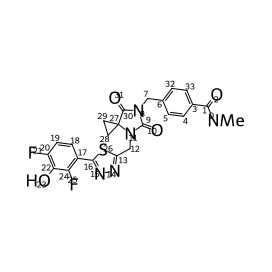 CNC(=O)c1ccc(CN2C(=O)N(Cc3nnc(-c4ccc(F)c(O)c4F)s3)C3(CC3)C2=O)cc1